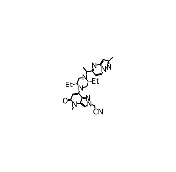 CC[C@H]1CN(C(C)c2ccn3nc(C)cc3n2)[C@H](CC)CN1c1cc(=O)n(C)c2cn(CC#N)nc12